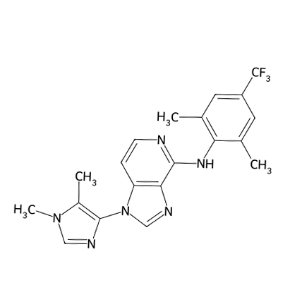 Cc1cc(C(F)(F)F)cc(C)c1Nc1nccc2c1ncn2-c1ncn(C)c1C